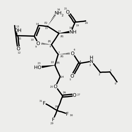 CCCNC(=O)O[C@@H]([C@@H]1OC(C(=O)O)=C[C@H](N)[C@H]1NC(C)=O)[C@H](O)COC(=O)C(F)(F)F